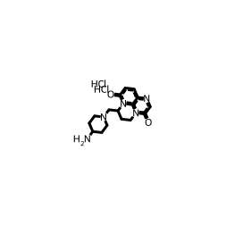 Cl.Cl.NC1CCN(CC2CCn3c(=O)cnc4ccc(=O)n2c43)CC1